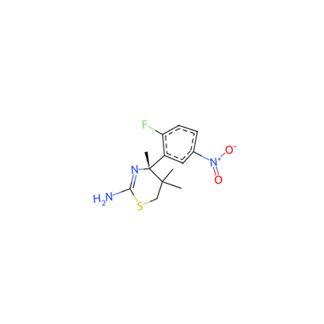 CC1(C)CSC(N)=N[C@]1(C)c1cc([N+](=O)[O-])ccc1F